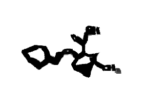 Cc1ccc(OCc2ccccc2)c(C(=O)O)n1